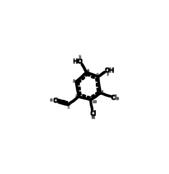 O=Cc1cc(O)c(O)c(Cl)c1Cl